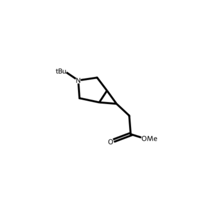 COC(=O)CC1C2CN(C(C)(C)C)CC12